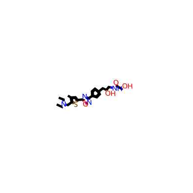 CCN(CC)Cc1sc(-c2nc(-c3ccc(CC(O)CNC(=O)CO)cc3)no2)cc1C